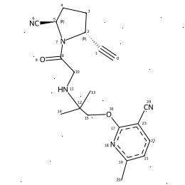 C#C[C@H]1CC[C@H](C#N)N1C(=O)CNC(C)(C)COc1nc(C)ccc1C#N